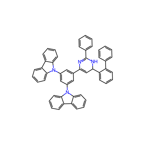 C1=C(c2cc(-n3c4ccccc4c4ccccc43)cc(-n3c4ccccc4c4ccccc43)c2)N=C(c2ccccc2)NC1c1ccccc1-c1ccccc1